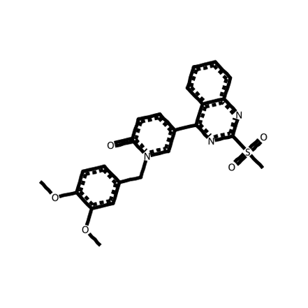 COc1ccc(Cn2cc(-c3nc(S(C)(=O)=O)nc4ccccc34)ccc2=O)cc1OC